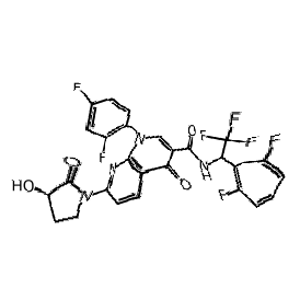 O=C(NC(c1c(F)cccc1F)C(F)(F)F)c1cn(-c2ccc(F)cc2F)c2nc(N3CC[C@@H](O)C3=O)ccc2c1=O